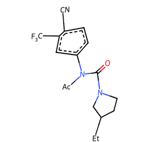 CCC1CCN(C(=O)N(C(C)=O)c2ccc(C#N)c(C(F)(F)F)c2)C1